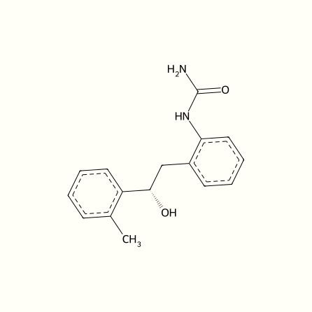 Cc1ccccc1[C@@H](O)Cc1ccccc1NC(N)=O